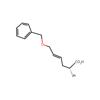 CC(C)[C@H](CC=CCOCc1ccccc1)C(=O)O